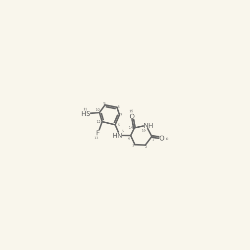 O=C1CCC(Nc2cccc(S)c2F)C(=O)N1